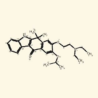 CCN(CC)CCOc1cc2c(cc1OC(C)C)C(=O)c1c([nH]c3ccccc13)C2(C)C